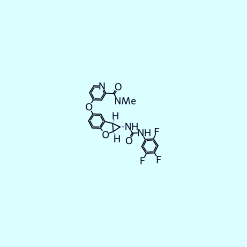 CNC(=O)c1cc(Oc2ccc3c(c2)[C@H]2[C@H](NC(=O)Nc4cc(F)c(F)cc4F)[C@H]2O3)ccn1